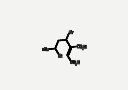 CCCCC(CC)CC(C(=CC(=O)O)C(=O)O)C(C)C